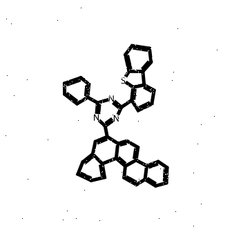 c1ccc(-c2nc(-c3cc4ccccc4c4c3ccc3c5ccccc5ccc34)nc(-c3cccc4c3sc3ccccc34)n2)cc1